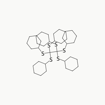 C1CCC(SC(SC2CCCCC2)(SC2CCCCC2)C(SC2CCCCC2)(SC2CCCCC2)SC2CCCCC2)CC1